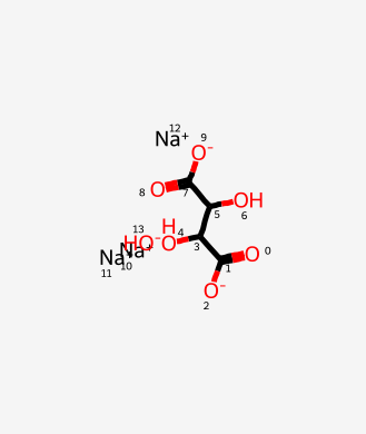 O=C([O-])C(O)C(O)C(=O)[O-].[Na+].[Na+].[Na+].[OH-]